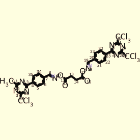 Cc1nc(-c2ccc(/C=N/OC(=O)CCC(=O)O/N=C/c3ccc(-c4nc(C(Cl)(Cl)Cl)nc(C(Cl)(Cl)Cl)n4)cc3)cc2)nc(C(Cl)(Cl)Cl)n1